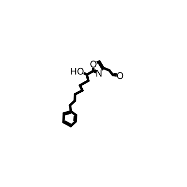 O=CCc1coc(C(O)CCCCCCc2ccccc2)n1